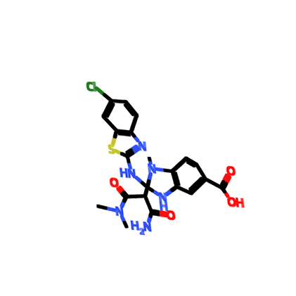 CN(C)C(=O)C(C(N)=O)C1(Nc2nc3ccc(Cl)cc3s2)Nc2cc(C(=O)O)ccc2N1C